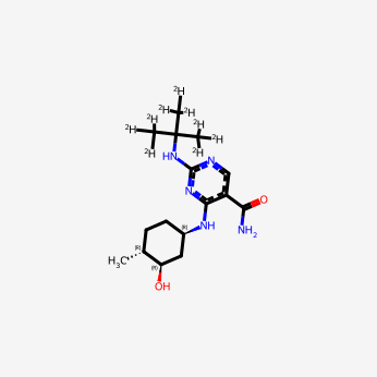 [2H]C([2H])([2H])C(Nc1ncc(C(N)=O)c(N[C@@H]2CC[C@@H](C)[C@H](O)C2)n1)(C([2H])([2H])[2H])C([2H])([2H])[2H]